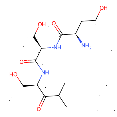 CC(C)C(=O)[C@@H](CO)NC(=O)[C@@H](CO)NC(=O)[C@H](N)CCO